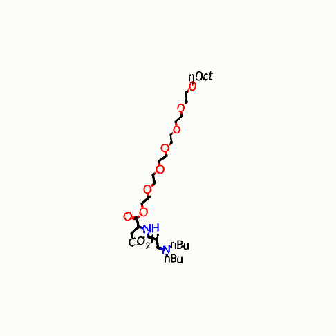 CCCCCCCCOCCOCCOCCOCCOCCOCCOC(=O)C(CC(=O)O)NCCCN(CCCC)CCCC